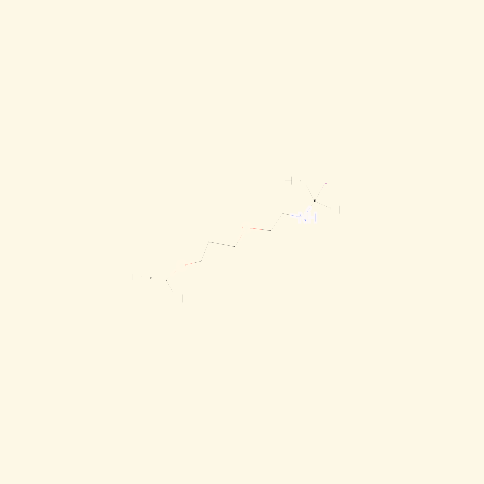 C[C@@H](OCCCOCCNC(C)(C)I)C(C)(C)C